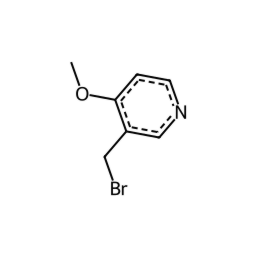 COc1ccncc1CBr